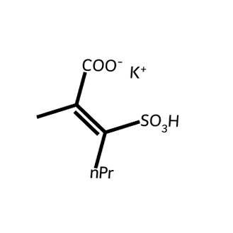 CCCC(=C(C)C(=O)[O-])S(=O)(=O)O.[K+]